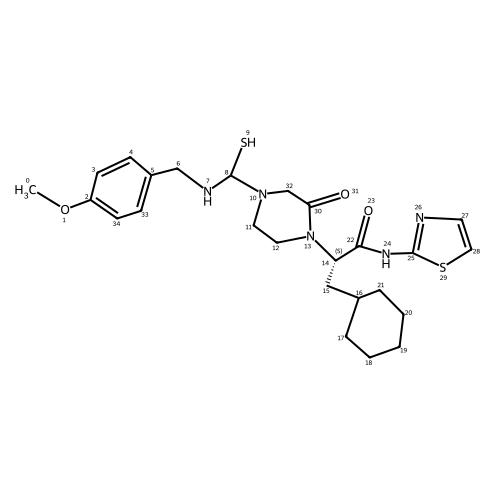 COc1ccc(CNC(S)N2CCN([C@@H](CC3CCCCC3)C(=O)Nc3nccs3)C(=O)C2)cc1